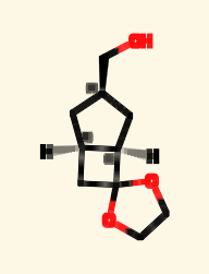 OC[C@@H]1C[C@@H]2CC3(OCCO3)[C@@H]2C1